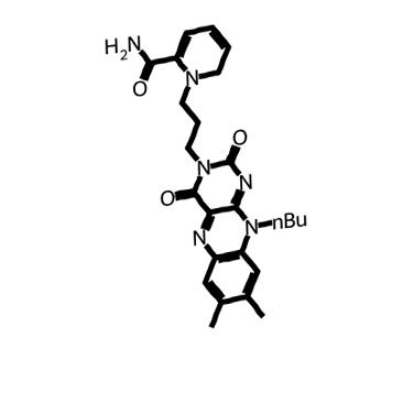 CCCCn1c2nc(=O)n(CCCN3CC=CC=C3C(N)=O)c(=O)c-2nc2cc(C)c(C)cc21